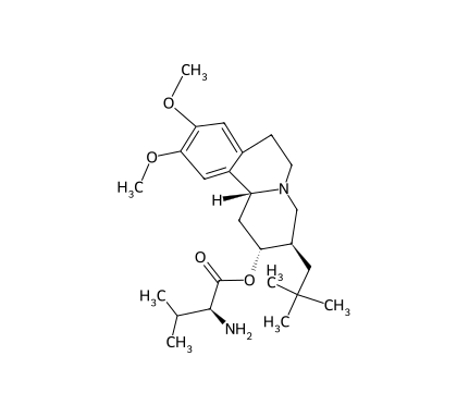 COc1cc2c(cc1OC)[C@H]1C[C@@H](OC(=O)[C@@H](N)C(C)C)[C@H](CC(C)(C)C)CN1CC2